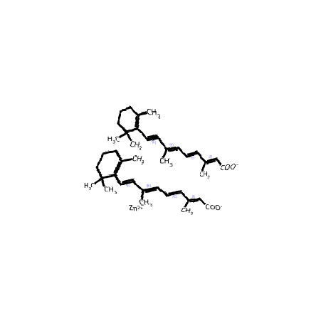 CC1=C(/C=C/C(C)=C/C=C/C(C)=C/C(=O)[O-])C(C)(C)CCC1.CC1=C(/C=C/C(C)=C/C=C/C(C)=C/C(=O)[O-])C(C)(C)CCC1.[Zn+2]